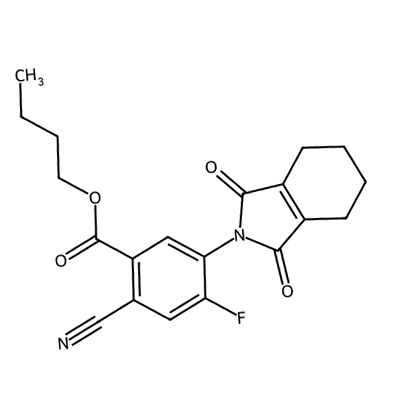 CCCCOC(=O)c1cc(N2C(=O)C3=C(CCCC3)C2=O)c(F)cc1C#N